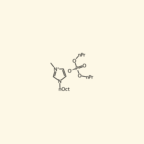 CCCCCCCCn1cc[n+](C)c1.CCCOP(=O)([O-])OCCC